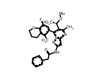 Cc1nc2cc(NC(=O)Cc3ccccc3)nn2c(-c2cc(F)c3c(c2C)CCCO3)c1[C@H](OC(C)(C)C)C(=O)O